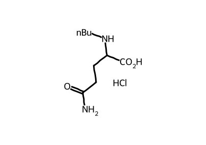 CCCCNC(CCC(N)=O)C(=O)O.Cl